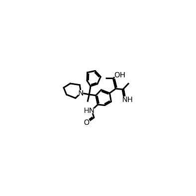 CC(=N)/C(=C(/C)O)c1ccc(NC=O)c(C(C)(c2ccccc2)N2CCCCC2)c1